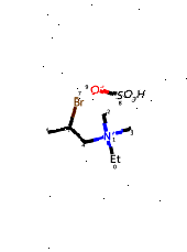 CC[N+](C)(C)CC(C)Br.O=S(=O)([O-])O